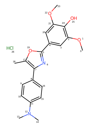 COc1cc(-c2nc(-c3ccc(N(C)C)cc3)c(C)o2)cc(OC)c1O.Cl